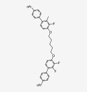 CCCc1ccc(-c2ccc(OCCCCCOc3ccc(-c4ccc(CCC)cc4)c(F)c3F)c(F)c2C)cc1